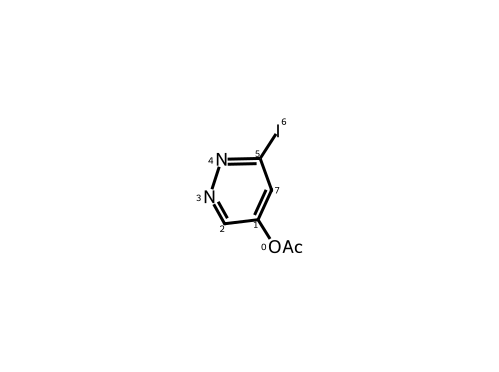 CC(=O)Oc1cnnc(I)c1